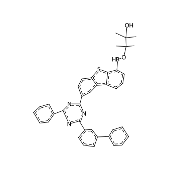 CC(C)(O)C(C)(C)OBc1cccc2c1sc1ccc(-c3nc(-c4ccccc4)nc(-c4cccc(-c5ccccc5)c4)n3)cc12